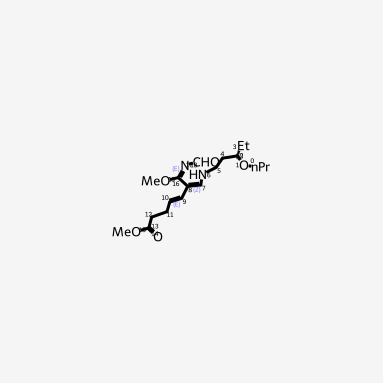 CCCO[C@H](CC)CCN/C=C(/C=C/CCC(=O)OC)C(=N/C=O)\OC